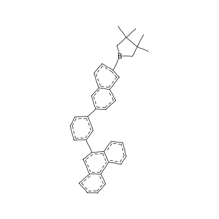 CC1(C)CB(c2ccc3cc(-c4cccc(-c5cc6ccccc6c6ccccc56)c4)ccc3c2)CC1(C)C